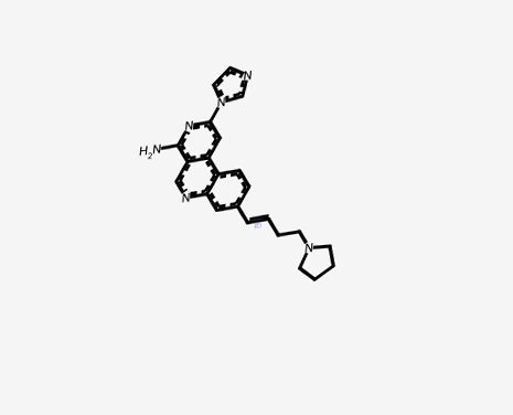 Nc1nc(-n2ccnc2)cc2c1cnc1cc(/C=C/CCN3CCCC3)ccc12